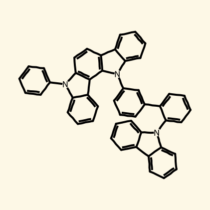 c1ccc(-n2c3ccccc3c3c2ccc2c4ccccc4n(-c4cccc(-c5ccccc5-n5c6ccccc6c6ccccc65)c4)c23)cc1